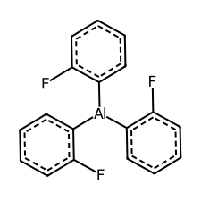 Fc1cccc[c]1[Al]([c]1ccccc1F)[c]1ccccc1F